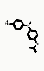 C=C(C)Nc1ccc(N(C)c2ccc(NCC)cc2)cc1